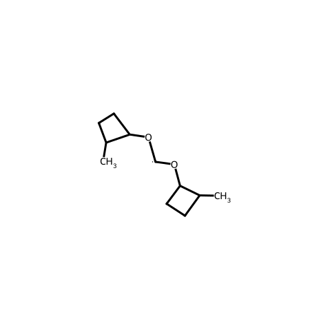 CC1CCC1O[CH]OC1CCC1C